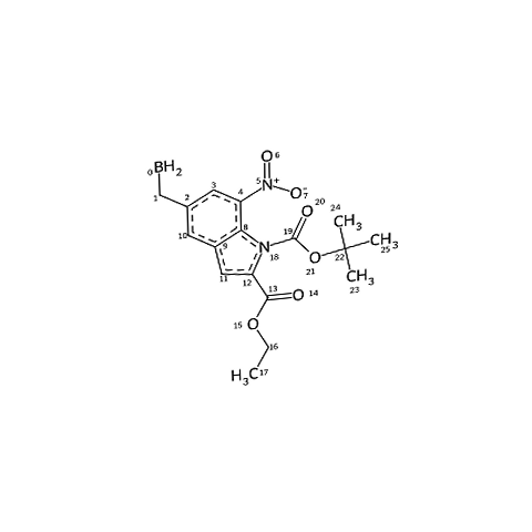 BCc1cc([N+](=O)[O-])c2c(c1)cc(C(=O)OCC)n2C(=O)OC(C)(C)C